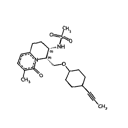 CC#CC1CCC(OC[C@H]2[C@@H](NS(C)(=O)=O)CCc3ccc(C)c(=O)n32)CC1